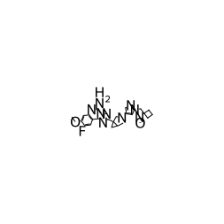 COc1cc2nc(N)n3nc(C45CC4CN(c4cnn(CC6(N=O)CCC6)c4)C5)nc3c2cc1F